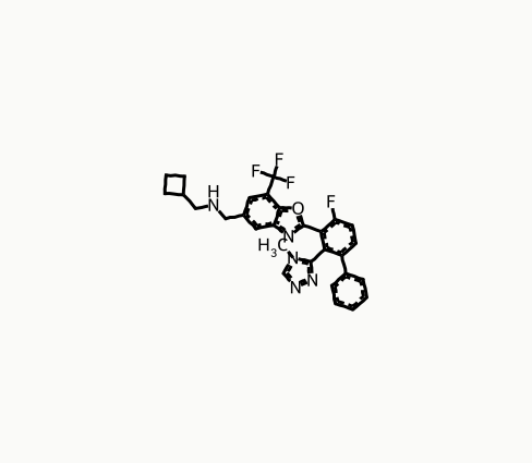 Cn1cnnc1-c1c(-c2ccccc2)ccc(F)c1-c1nc2cc(CNCC3CCC3)cc(C(F)(F)F)c2o1